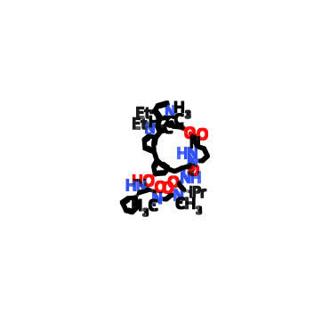 CCc1ccncc1-c1c2c3cc(ccc3n1CC)-c1cc(O)cc(c1)C[C@H](NC(=O)[C@H](C(C)C)N(C)C(=O)CN(C)C(=O)[C@H]1N[C@H]1c1ccccc1)C(=O)N1CCC[C@H](N1)C(=O)OCC(C)(C)C2